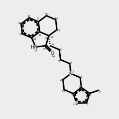 Cc1csc2c1CN(CCCC[C@@]13CCCc4cccc(c41)NC3=O)CC2